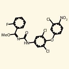 COC(=NC(=O)Nc1cc(Cl)c(Oc2ccc([N+](=O)[O-])c(Cl)c2)c(Cl)c1)c1ccccc1F